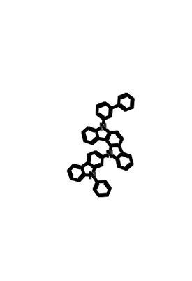 c1ccc(-c2cccc(-n3c4ccccc4c4c3ccc3c5ccccc5n(-c5ccc6c7ccccc7n(-c7ccccc7)c6c5)c34)c2)cc1